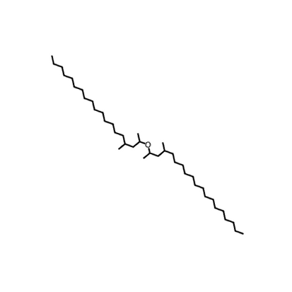 CCCCCCCCCCCCCCCC(C)CC(C)OC(C)CC(C)CCCCCCCCCCCCCCC